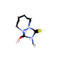 CC(C)n1c(=O)n2n(c1=S)CCCC2